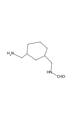 NCC1CCCC(CN[C]=O)C1